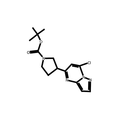 CC(C)(C)OC(=O)N1CCC(c2cc(Cl)n3nccc3n2)C1